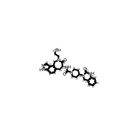 CC(C)(C)CCN1Cc2c(ccc3[nH]ncc23)C[C@@H](NC(=O)N2CCC(N3Cc4ccccc4NC3=O)CC2)C1=O